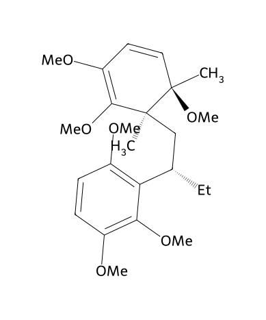 CC[C@@H](C[C@@]1(C)C(OC)=C(OC)C=C[C@@]1(C)OC)c1c(OC)ccc(OC)c1OC